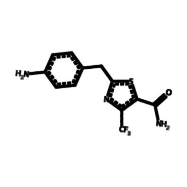 NC(=O)c1sc(Cc2ccc(N)cc2)nc1C(F)(F)F